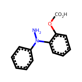 NN(c1ccccc1)c1ccccc1OC(=O)O